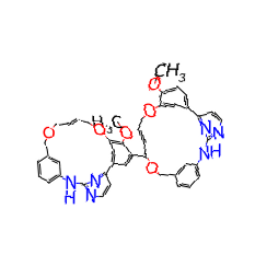 COc1ccc2cc1OC/C=C/C(c1cc3cc(c1OC)OC/C=C/COCc1cccc(c1)Nc1nccc-3n1)OCc1cccc(c1)Nc1nccc-2n1